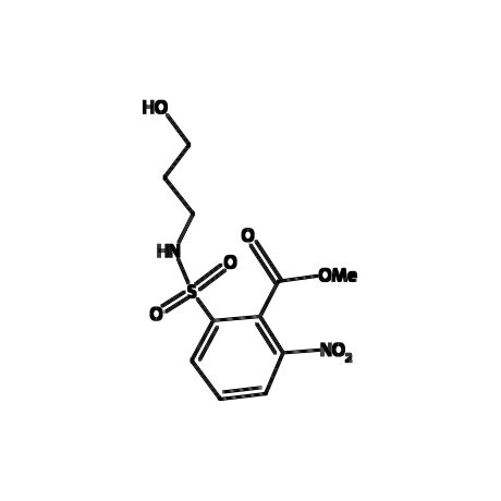 COC(=O)c1c([N+](=O)[O-])cccc1S(=O)(=O)NCCCO